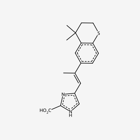 CC(=Cc1c[nH]c(C(=O)O)n1)c1ccc2c(c1)C(C)(C)CCS2